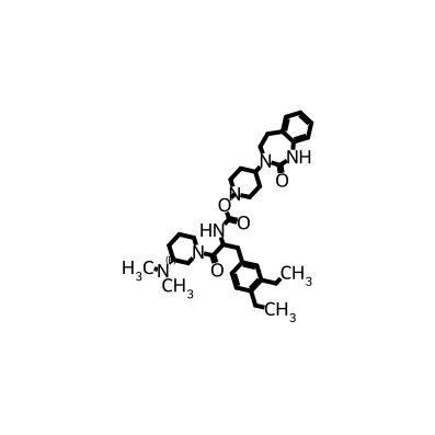 CCc1ccc(CC(NC(=O)ON2CCC(N3CCc4ccccc4NC3=O)CC2)C(=O)N2CCC[C@@H](N(C)C)C2)cc1CC